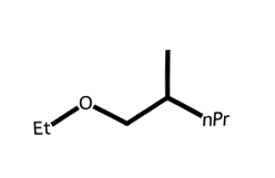 [CH2]COCC(C)CCC